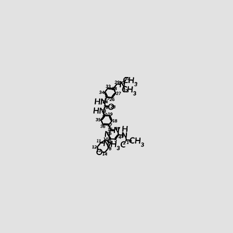 CC(C)Nc1cc(N2C3CCC2COC3)nc(-c2ccc(NC(=O)Nc3ccc(CN(C)C)cc3)cc2)n1